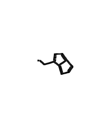 [CH2]CC1=CC=C2C=CC=C21